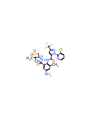 Cc1cc(N)cc(C(=O)NC2CS(=O)(=O)C2(C)C)c1NC(=O)c1cc(C(F)(F)F)nn1-c1ncccc1Cl